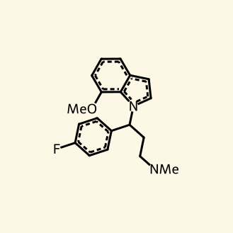 CNCCC(c1ccc(F)cc1)n1ccc2cccc(OC)c21